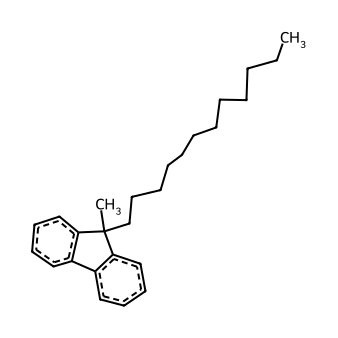 CCCCCCCCCCCCC1(C)c2ccccc2-c2ccccc21